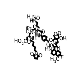 Cc1c(F)cc2nc3c(c4c2c1CC[C@@H]4NC(=O)OCc1ccc(NC(=O)[C@H](CCCNC(N)=O)NC(=O)[C@@H](NC(=O)[C@H](CCC(=O)O)NC(=O)CCCCCN2C(=O)C=CC2=O)C(C)C)cc1)Cn1c-3cc2c(c1=O)COC(=O)C2O